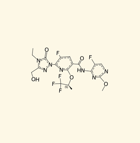 CCn1c(CO)nn(-c2nc(O[C@@H](C)C(F)(F)F)c(C(=O)Nc3nc(OC)ncc3F)cc2F)c1=O